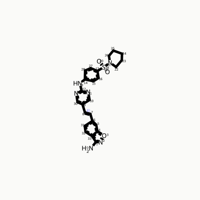 Nc1noc2cc(/C=C/c3cnc(Nc4ccc(S(=O)(=O)N5CCCCC5)cc4)nc3)ccc12